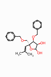 CC(C)=C[C@]1(COCc2ccccc2)OC(O)[C@H](O)[C@@H]1OCc1ccccc1